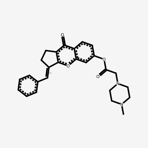 CN1CCN(CC(=O)Oc2ccc3c(=O)c4c(oc3c2)/C(=C/c2ccccc2)CC4)CC1